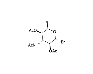 CC(=O)N[C@@H]1[C@@H](OC(C)=O)[C@@H](C)O[C@H](Br)[C@H]1OC(C)=O